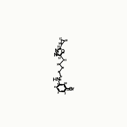 Brc1cccc(NCCCCCc2nnc(C3CC3)o2)c1